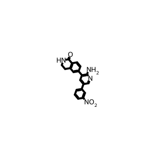 Nc1ncc(-c2cccc([N+](=O)[O-])c2)cc1-c1ccc2c(c1)CCNC2=O